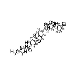 Cc1cnc(NC(=O)c2ccc(S(=O)(=O)c3ccc(CCN(C[C@H](O)c4cccc(Cl)c4)C(=O)O)cc3)cc2)s1